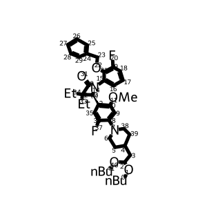 CCCCOC(CC1CCN(c2cc(OC)c([C@@H]3N(c4cccc(F)c4OCc4ccccc4)C(=O)C3(CC)CC)cc2F)CC1)OCCCC